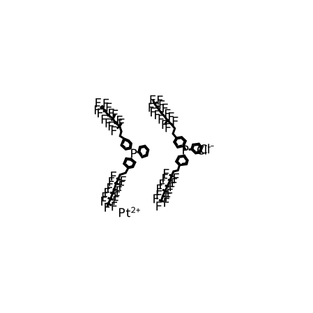 FC(F)(F)C(F)(F)C(F)(F)C(F)(F)C(F)(F)C(F)(F)CCc1ccc(P(c2ccccc2)c2ccc(CCC(F)(F)C(F)(F)C(F)(F)C(F)(F)C(F)(F)C(F)(F)F)cc2)cc1.FC(F)(F)C(F)(F)C(F)(F)C(F)(F)C(F)(F)C(F)(F)CCc1ccc(P(c2ccccc2)c2ccc(CCC(F)(F)C(F)(F)C(F)(F)C(F)(F)C(F)(F)C(F)(F)F)cc2)cc1.[Cl-].[Cl-].[Pt+2]